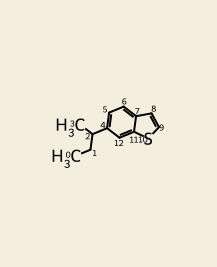 CCC(C)c1ccc2ccsc2c1